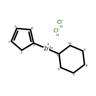 C1=CC[C]([Zr+2][CH]2CCCCC2)=C1.[Cl-].[Cl-]